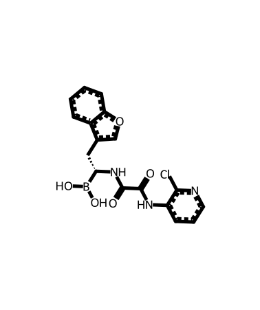 O=C(Nc1cccnc1Cl)C(=O)N[C@@H](Cc1coc2ccccc12)B(O)O